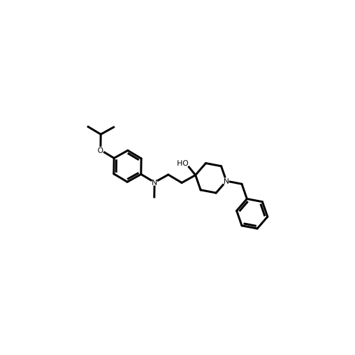 CC(C)Oc1ccc(N(C)CCC2(O)CCN(Cc3ccccc3)CC2)cc1